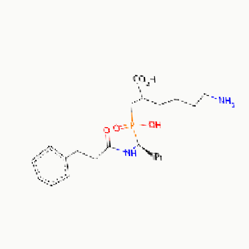 CC(C)[C@@H](NC(=O)CCc1ccccc1)P(=O)(O)CC(CCCCN)C(=O)O